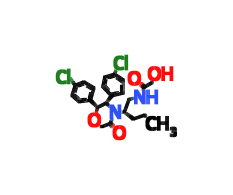 CCC[C@H](CNC(=O)CO)N1C(=O)CO[C@@H](c2ccc(Cl)cc2)[C@H]1c1ccc(Cl)cc1